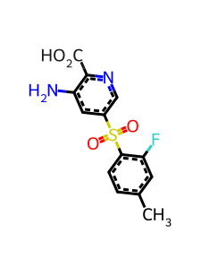 Cc1ccc(S(=O)(=O)c2cnc(C(=O)O)c(N)c2)c(F)c1